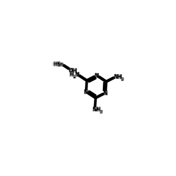 Nc1nc(N)nc(N)n1.[OH][SnH]